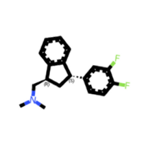 CN(C)C[C@@H]1C[C@@H](c2ccc(F)c(F)c2)c2ccccc21